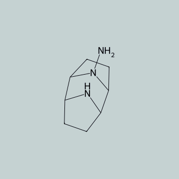 NN1C2CCC1C1CCC2N1